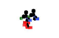 CC1(C)CN([C@@H]2C[C@@H](c3ccccc3)c3ccc(Cl)cc32)CCN1.CC1(C)CN([C@@H]2C[C@@H](c3ccccc3)c3ccc(Cl)cc32)CCN1.O=C(O)CC(O)C(=O)O